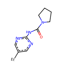 CCc1cnc(NC(=O)N2CCCC2)nc1